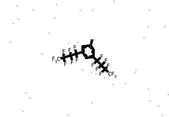 [CH2]c1cc(C(F)(F)C(F)(F)C(F)(F)C(F)(F)F)cc(C(F)(F)C(F)(F)C(F)(F)C(F)(F)F)c1